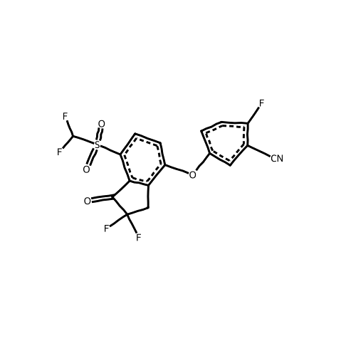 N#Cc1cc(Oc2ccc(S(=O)(=O)C(F)F)c3c2CC(F)(F)C3=O)ccc1F